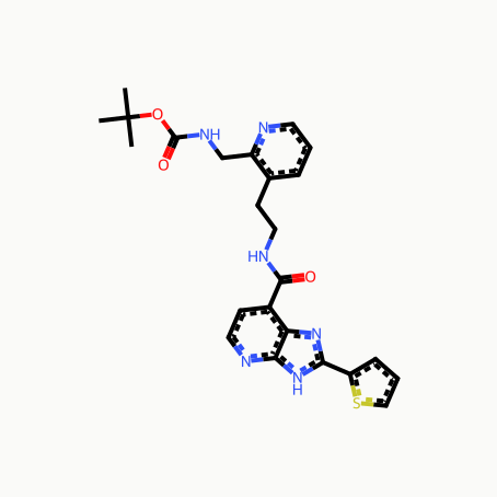 CC(C)(C)OC(=O)NCc1ncccc1CCNC(=O)c1ccnc2[nH]c(-c3cccs3)nc12